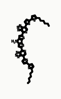 CCCCCCc1ccc(-c2ccc(-c3cnc(-c4cc5c(s4)-c4sc(-c6ncc(-c7ccc(-c8ccc(CCCCCC)s8)s7)c7nsnc67)cc4[SiH2]5)c4nsnc34)s2)s1